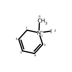 C[N+]1(I)C=CC=CC1